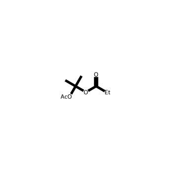 CCC(=O)OC(C)(C)OC(C)=O